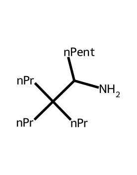 CCCCCC(N)C(CCC)(CCC)CCC